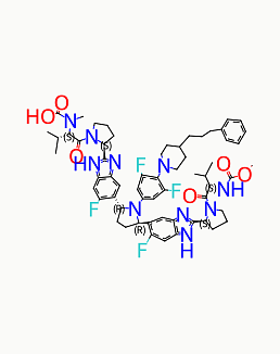 COC(=O)N[C@H](C(=O)N1CCC[C@H]1c1nc2cc([C@H]3CC[C@H](c4cc5nc([C@@H]6CCCN6C(=O)[C@H](C(C)C)N(C)C(=O)O)[nH]c5cc4F)N3c3cc(F)c(N4CCC(CCCc5ccccc5)CC4)c(F)c3)c(F)cc2[nH]1)C(C)C